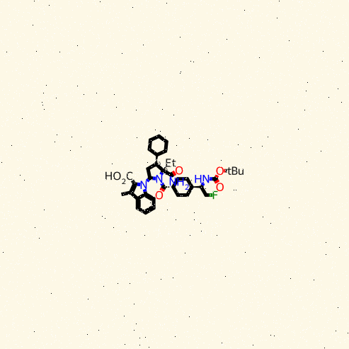 CC[C@@]1(C(N)=O)[C@H](C2CCCCC2)CC(n2c(C(=O)O)c(C)c3ccccc32)N1C(=O)[C@H]1CC[C@H](C(CF)NC(=O)OC(C)(C)C)CC1